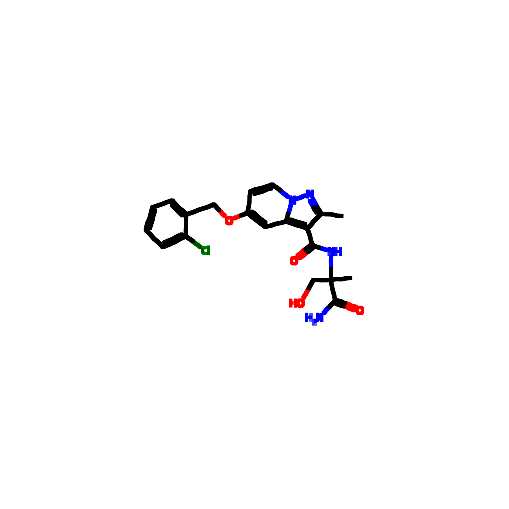 Cc1nn2ccc(OCc3ccccc3Cl)cc2c1C(=O)NC(C)(CO)C(N)=O